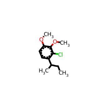 CCC(C)c1ccc(OC)c(OC)c1Cl